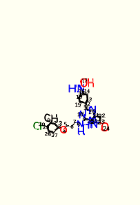 Cc1cc(OCCCNc2nc(-c3ccc(NO)cc3)nc3cc(=O)[nH]n23)ccc1Cl